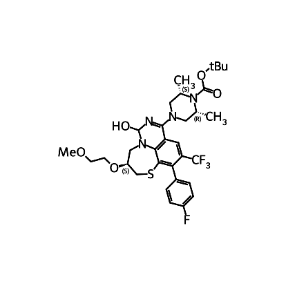 COCCO[C@@H]1CSc2c(-c3ccc(F)cc3)c(C(F)(F)F)cc3c2N(C1)C(O)N=C3N1C[C@@H](C)N(C(=O)OC(C)(C)C)[C@@H](C)C1